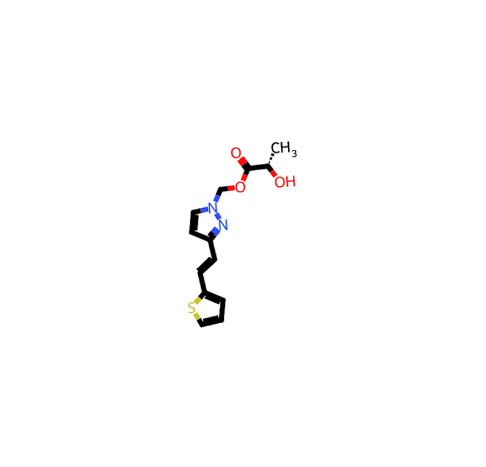 C[C@H](O)C(=O)OCn1ccc(/C=C/c2cccs2)n1